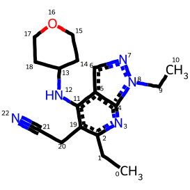 CCc1nc2c(cnn2CC)c(NC2CCOCC2)c1CC#N